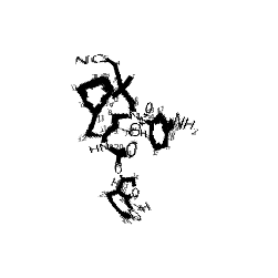 CC(C)(CCC#N)CN(C[C@H](O)[C@H](Cc1ccccc1)NC(=O)O[C@H]1CO[C@H]2OCC[C@H]21)S(=O)(=O)c1cccc(N)c1